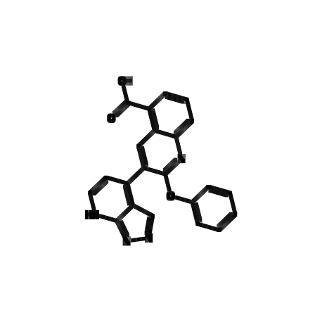 O=C(O)c1cccc2nc(Oc3ccccc3)c(-c3cc[nH]c4nncc3-4)cc12